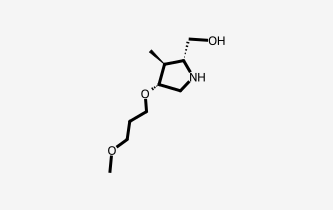 COCCCO[C@H]1CN[C@@H](CO)[C@@H]1C